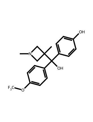 CN1CC(C)(C(O)(c2ccc(O)cc2)c2ccc(OC(F)(F)F)cc2)C1